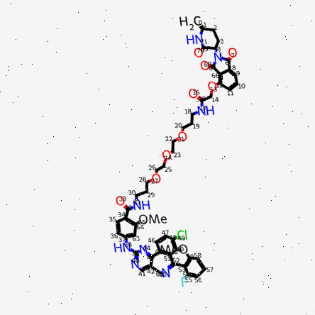 C=C1CCC(N2C(=O)c3cccc(OCC(=O)NCCCOCCOCCOCCCNC(=O)c4ccc(Nc5ncc6c(n5)-c5ccc(Cl)cc5C(c5c(F)cccc5OC)=NC6)cc4OC)c3C2=O)C(=O)N1